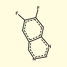 Fc1cc2cn[c]nc2cc1F